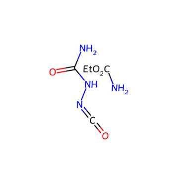 CCOC(N)=O.NC(=O)NN=C=O